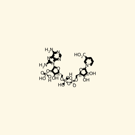 Nc1ncnc2c1nc(N)n2[C@@H]1O[C@H](COP(=O)(O)OP(=O)(O)OC[C@H]2O[C@@H]([n+]3cccc(C(=O)O)c3)[C@H](O)[C@@H]2O)[C@@H](O)[C@H]1OP(=O)(O)O